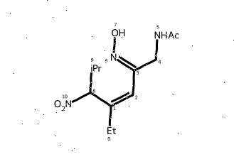 CCC(=CC(CNC(C)=O)=NO)C(C(C)C)[N+](=O)[O-]